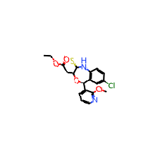 CCOC(=O)CC1OC(c2cccnc2OC)c2cc(Cl)ccc2NC1=S